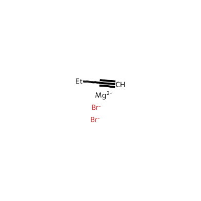 C#CCC.[Br-].[Br-].[Mg+2]